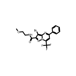 COCCNC(=O)c1nn2c(C(F)(F)F)cc(-c3ccccc3)nc2c1Br